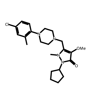 COc1c(CN2CCN(c3ccc(Cl)cc3C)CC2)n(C)n(C2CCCC2)c1=O